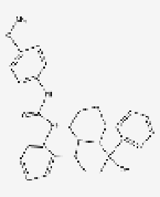 O=C(Nc1ccc(OC(F)(F)F)cc1)Nc1ccccc1N1CCC(O)(c2ccccc2)C2CCCCC21